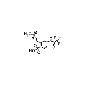 CS(=O)(=O)CCc1cc(NC(=O)C(F)(F)F)ccc1S(=O)(=O)O